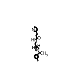 CC(c1cccc(F)c1)N1C[C@@H]2C(CCNC(=O)/C=C/c3cccnc3)[C@@H]2C1